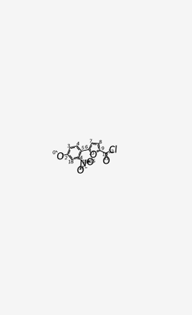 COc1ccc(-c2ccc(C(=O)Cl)o2)c([N+](=O)[O-])c1